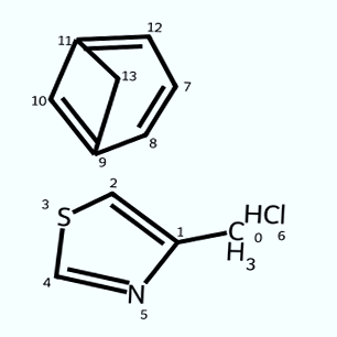 Cc1cscn1.Cl.c1cc2cc(c1)C2